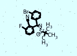 CC(C)(C)[S@+]([O-])N=C(c1cccc(Br)c1)c1cccc(F)c1C#N